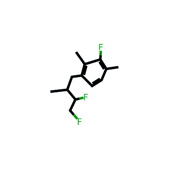 Cc1ccc(CC(C)C(F)CF)c(C)c1F